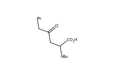 CCCCC(CC(=O)CC(C)C)C(=O)O